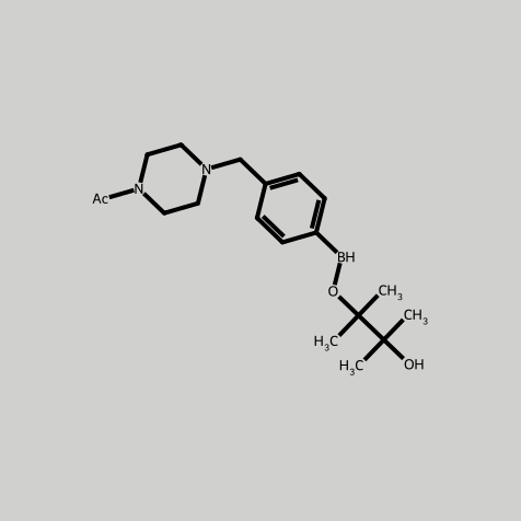 CC(=O)N1CCN(Cc2ccc(BOC(C)(C)C(C)(C)O)cc2)CC1